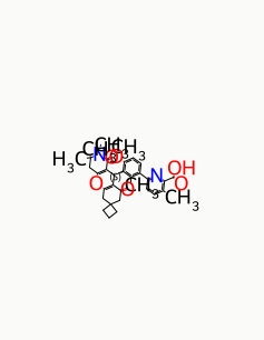 COc1ccc(-c2ccc(C)c(C(=O)O)n2)c(C)c1[C@H]1C2=C(CC3(CCC3)CC2=O)OC2=C1C(=O)N(C)C(C)(C)C2